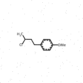 COc1ccc(CCC(C)Cl)cc1